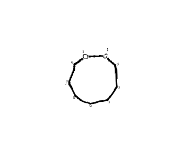 C1CCCOOCCC1